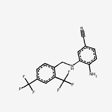 N#Cc1ccc(N)c(NCc2ccc(C(F)(F)F)cc2C(F)(F)F)c1